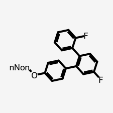 CCCCCCCCCOc1ccc(-c2cc(F)ccc2-c2ccccc2F)cc1